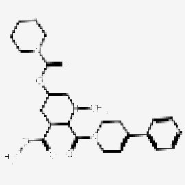 COC(=O)C1CC(OC(=O)N2CCCCC2)CN(C)C1C(=O)N1CC=C(c2ccccc2)CC1